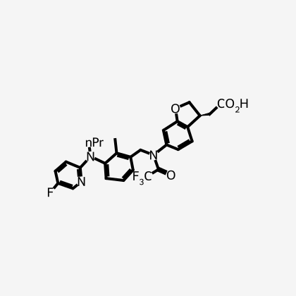 CCCN(c1ccc(F)cn1)c1cccc(CN(C(=O)C(F)(F)F)c2ccc3c(c2)OC[C@H]3CC(=O)O)c1C